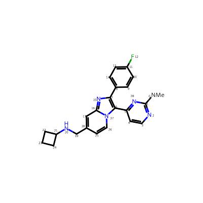 CNc1nccc(-c2c(-c3ccc(F)cc3)nc3cc(CNC4CCC4)ccn23)n1